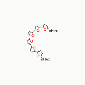 CCCCCCc1ccc(-c2ccc(-c3ccc(-c4ccc(-c5ccc(-c6ccc(CCCCCC)o6)o5)o4)o3)o2)o1